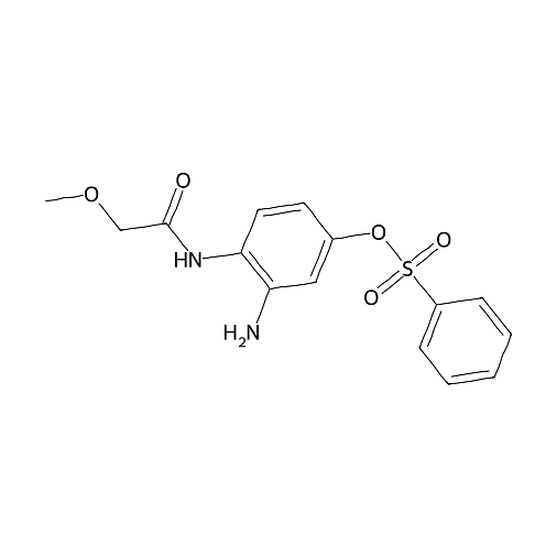 COCC(=O)Nc1ccc(OS(=O)(=O)c2ccccc2)cc1N